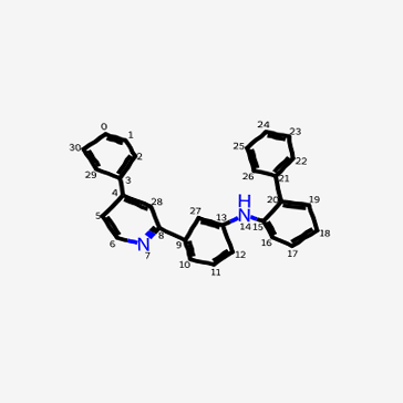 c1ccc(-c2ccnc(-c3cccc(Nc4ccccc4-c4ccccc4)c3)c2)cc1